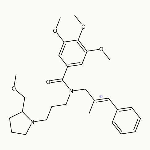 COCC1CCCN1CCCN(C/C(C)=C/c1ccccc1)C(=O)c1cc(OC)c(OC)c(OC)c1